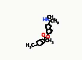 CCC1CC2CC(C1)CC(C)(C(=O)Oc1ccc3cc(C(C)NC)ccc3c1)C2